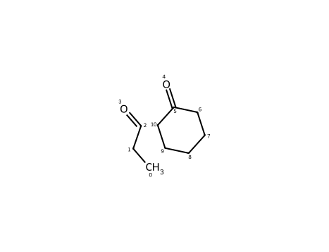 CCC=O.O=C1CCCCC1